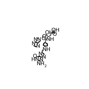 Nc1nc2ncc(CNc3ccc(C(=O)NC(CCC(=O)O)C(=O)O)cc3)nc2c(=O)[nH]1.c1cnc2ncncc2n1